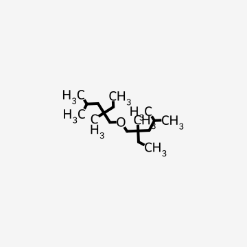 CCC(C)(COCC(C)(CC)CC(C)C)CC(C)C